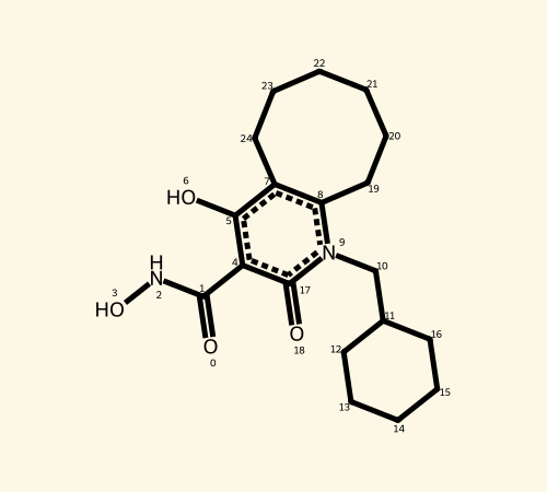 O=C(NO)c1c(O)c2c(n(CC3CCCCC3)c1=O)CCCCCC2